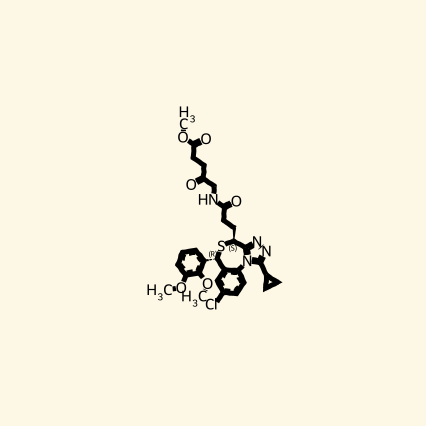 COC(=O)CCC(=O)CNC(=O)CC[C@@H]1S[C@@H](c2cccc(OC)c2OC)c2cc(Cl)ccc2-n2c(C3CC3)nnc21